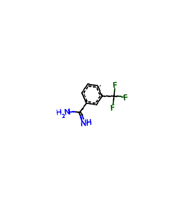 N=C(N)c1cc[c]c(C(F)(F)F)c1